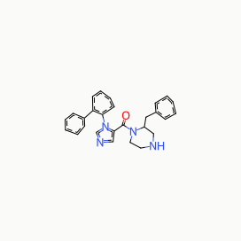 O=C(c1cncn1-c1ccccc1-c1ccccc1)N1CCNCC1Cc1ccccc1